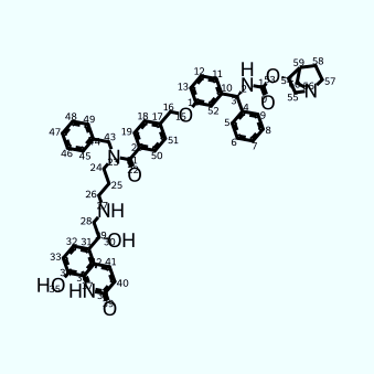 O=C(N[C@@H](c1ccccc1)c1cccc(OCc2ccc(C(=O)N(CCCNC[C@H](O)c3ccc(O)c4[nH]c(=O)ccc34)Cc3ccccc3)cc2)c1)O[C@H]1CN2CCC1C2